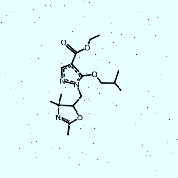 CCOC(=O)c1cnn(CC2OC(C)=NC2(C)C)c1OCC(C)C